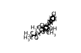 C=C(C)C(=O)OCCOc1c(C(C)(C)C)cc(-n2n3c4ccc(Cl)cc4n23)c(O)c1C